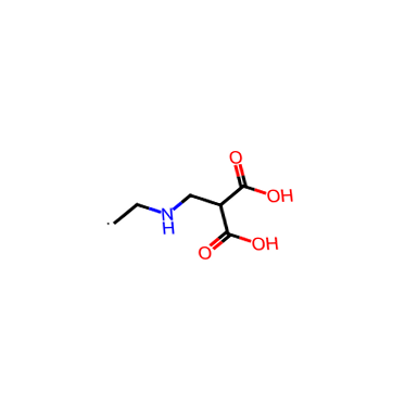 [CH2]CNCC(C(=O)O)C(=O)O